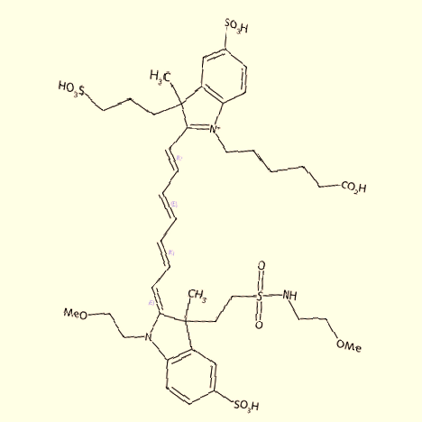 COCCNS(=O)(=O)CCC1(C)\C(=C/C=C/C=C/C=C/C2=[N+](CCCCCC(=O)O)c3ccc(S(=O)(=O)O)cc3C2(C)CCCS(=O)(=O)O)N(CCOC)c2ccc(S(=O)(=O)O)cc21